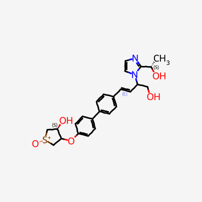 C[C@H](O)c1nccn1C(/C=C/c1ccc(-c2ccc(OC3C[S+]([O-])C[C@H]3O)cc2)cc1)CO